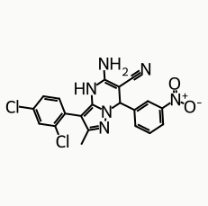 Cc1nn2c(c1-c1ccc(Cl)cc1Cl)NC(N)=C(C#N)C2c1cccc([N+](=O)[O-])c1